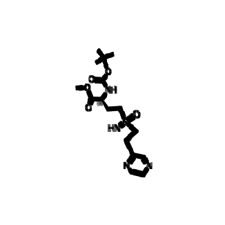 COC(=O)[C@H](CCS(=N)(=O)CCc1cnccn1)NC(=O)OC(C)(C)C